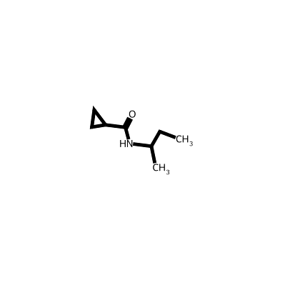 CCC(C)NC(=O)C1CC1